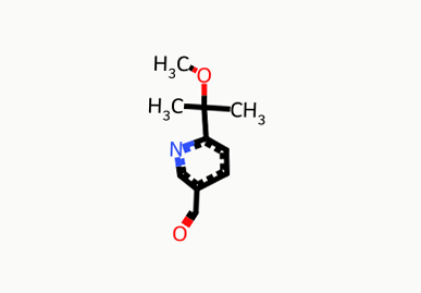 COC(C)(C)c1ccc(C=O)cn1